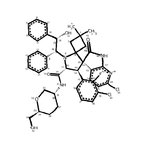 CC1(C)CC2(C1)N([C@H](c1ccccc1)[C@@H](O)c1ccccc1)[C@@H](C(=O)N[C@@H]1CC[C@@H](CO)OC1)[C@H](c1cccc(Cl)c1F)[C@]21C(=O)Nc2nc(Cl)ccc21